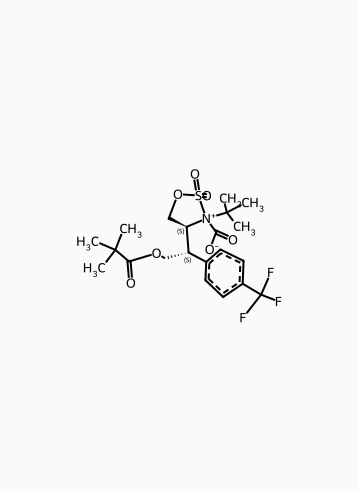 CC(C)(C)C(=O)OC[C@@H](c1ccc(C(F)(F)F)cc1)[C@H]1COS(=O)(=O)[N+]1(C(=O)[O-])C(C)(C)C